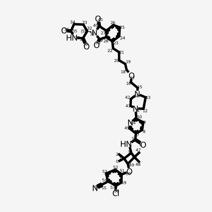 CC1(C)C(NC(=O)c2ccc(N3CCN(CCOCCCCCc4cccc5c4C(=O)N([C@H]4CCC(=O)NC4=O)C5=O)CC3)nc2)C(C)(C)C1Oc1ccc(C#N)c(Cl)c1